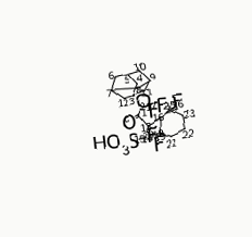 O=C(OC12CC3CC(CC(C3)C1)C2)C(CS(=O)(=O)O)C1(F)C(F)(F)CCCC1(F)F